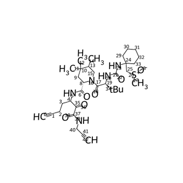 C#CCCC(NC(=O)[C@@H]1CC(C)(C)C(C)CN1C(=O)[C@@H](NC(=O)NC1(C[S+](C)[O-])CCCCC1)C(C)(C)C)C(=O)C(=O)NCC#C